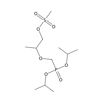 CC(C)OP(=O)(COC(C)COS(C)(=O)=O)OC(C)C